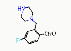 O=Cc1ccc(F)cc1CN1CCNCC1